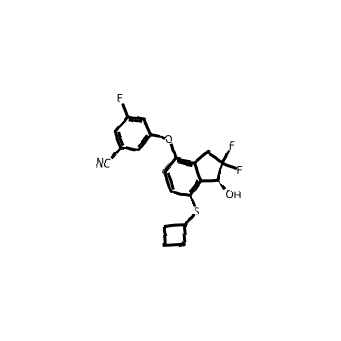 N#Cc1cc(F)cc(Oc2ccc(SC3CCC3)c3c2CC(F)(F)[C@H]3O)c1